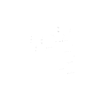 CCN1C(=O)N2Cc3cc(C)cc(C)c3C(C)C=C2C12CCN(Cc1cc(C)cc(C)c1)CC2